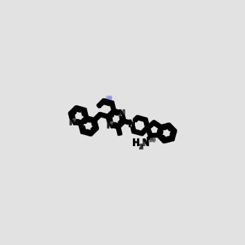 C/C=C\c1nc(N2CCC3(CC2)Cc2ccccc2[C@H]3N)c(C)nc1Cc1cccc2ncccc12